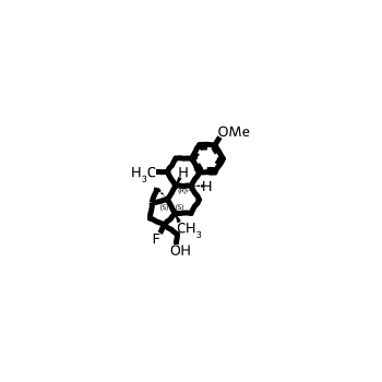 COc1ccc2c(c1)CC(C)[C@@H]1[C@@H]2CC[C@]2(C)C(F)(CO)CC3C[C@]312